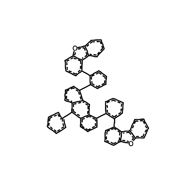 c1ccc(-c2c3cccc(-c4ccccc4-c4cccc5oc6ccccc6c45)c3cc3c(-c4ccccc4-c4cccc5oc6ccccc6c45)cccc23)cc1